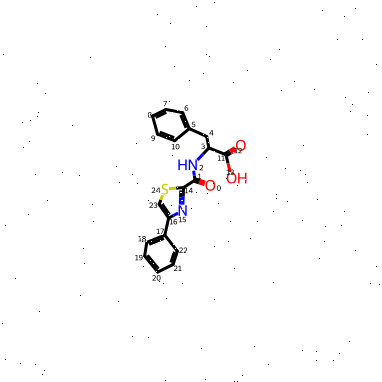 O=C(NC(Cc1ccccc1)C(=O)O)c1nc(-c2ccccc2)cs1